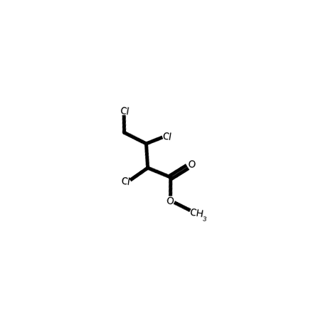 COC(=O)C(Cl)C(Cl)CCl